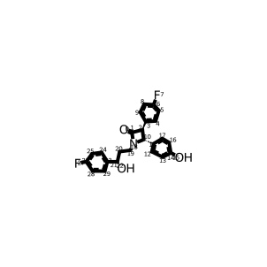 O=C1[C@@H](c2ccc(F)cc2)[C@H](c2ccc(O)cc2)N1CC[C@H](O)c1ccc(F)cc1